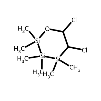 C[Si]1(C)OC(Cl)C(Cl)[Si](C)(C)[Si]1(C)C